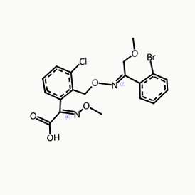 COC/C(=N\OCc1c(Cl)cccc1/C(=N\OC)C(=O)O)c1ccccc1Br